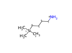 C[Si](C)(C)[CH]CCCN